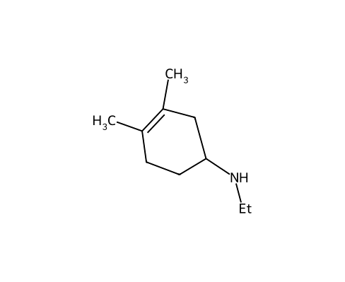 CCNC1CCC(C)=C(C)C1